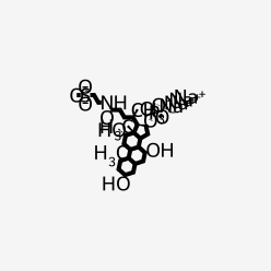 C[C@H](CCC(=O)NCCS(=O)(=O)[O-])[C@H]1CCC2C3C(C[C@H](O)[C@@]21C)[C@@]1(C)CC[C@@H](O)CC1C[C@H]3O.O=P([O-])([O-])[O-].[Na+].[Na+].[Na+].[Na+]